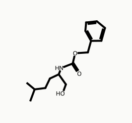 CC(C)CCC(CO)NC(=O)OCc1ccccc1